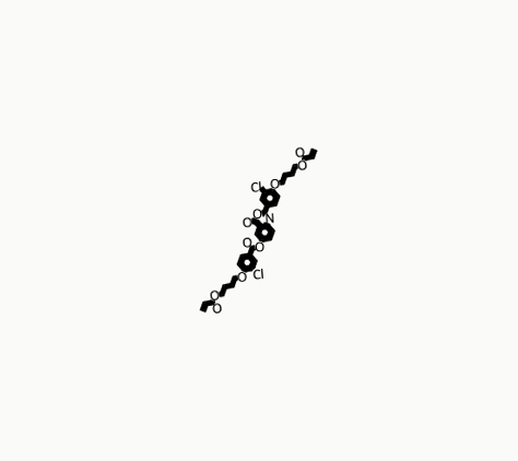 C=CC(=O)OCCCCOc1ccc(C(=O)Oc2ccc3nc(-c4ccc(OCCCCOC(=O)C=C)c(Cl)c4)oc(=O)c3c2)cc1Cl